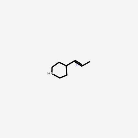 C/C=C/C1CCNCC1